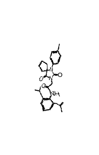 Cc1ccc(N2C(=O)N(CC(=O)Nc3c(C(C)C)cccc3C(C)C)C(=O)C23CCCC3)cc1